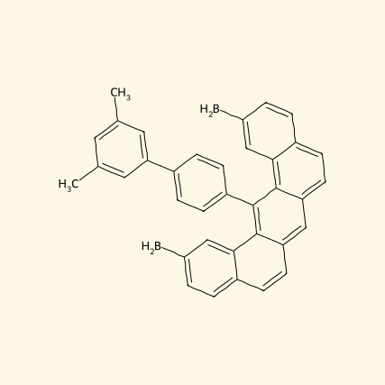 Bc1ccc2ccc3cc4ccc5ccc(B)cc5c4c(-c4ccc(-c5cc(C)cc(C)c5)cc4)c3c2c1